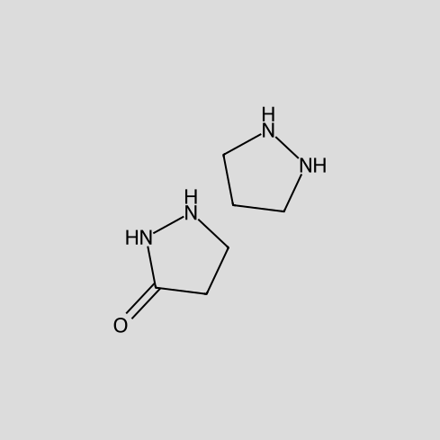 C1CNNC1.O=C1CCNN1